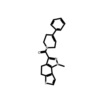 Cn1nc(C(=O)N2CC=C(c3ccccc3)CC2)c2c1-c1ccsc1CC2